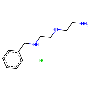 Cl.NCCNCCNCc1ccccc1